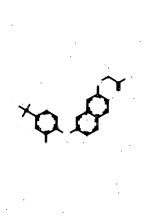 C[C@@H](Oc1ccc2ccc(Oc3ccc(C(F)(F)F)cc3Cl)cc2c1)C(=O)O